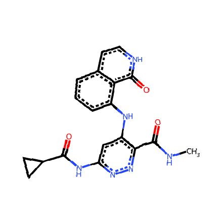 CNC(=O)c1nnc(NC(=O)C2CC2)cc1Nc1cccc2cc[nH]c(=O)c12